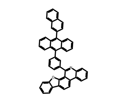 c1cc(-c2c3ccccc3c(-c3ccc4ccccc4c3)c3ccccc23)cc(-c2nc3ccccc3c3ccc4c5ccccc5oc4c23)c1